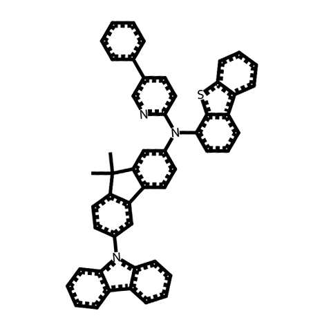 CC1(C)c2ccc(-n3c4ccccc4c4ccccc43)cc2-c2ccc(N(c3ccc(-c4ccccc4)cn3)c3cccc4c3sc3ccccc34)cc21